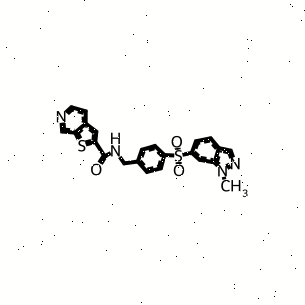 Cn1ncc2ccc(S(=O)(=O)c3ccc(CNC(=O)c4cc5ccncc5s4)cc3)cc21